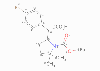 CC(C)(C)OC(=O)N1C([C@@H](C(=O)O)c2ccc(Br)cc2)CCC1(C)C